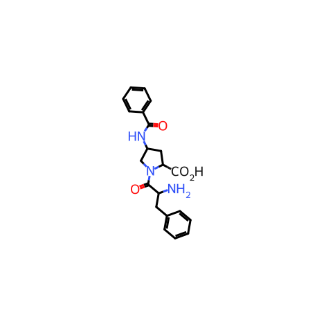 NC(Cc1ccccc1)C(=O)N1CC(NC(=O)c2ccccc2)CC1C(=O)O